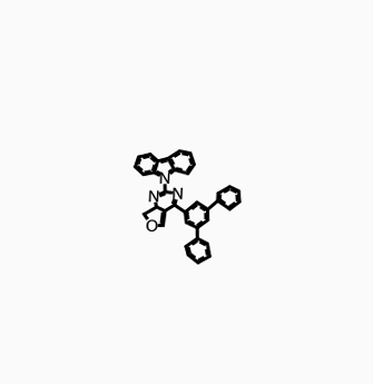 C1=C2C(c3cc(-c4ccccc4)cc(-c4ccccc4)c3)=NC(n3c4ccccc4c4ccccc43)=NC2CO1